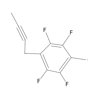 [CH2]c1c(F)c(F)c(CC#CC)c(F)c1F